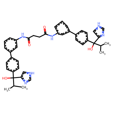 CC(C)C(O)(c1ccc(-c2cccc(NC(=O)CCC(=O)Nc3cccc(-c4ccc(C(O)(c5c[nH]cn5)C(C)C)cc4)c3)c2)cc1)c1c[nH]cn1